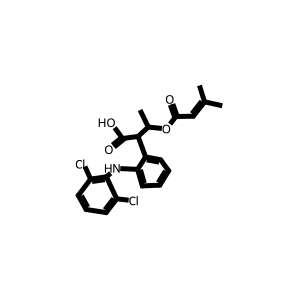 CC(C)=CC(=O)OC(C)C(C(=O)O)c1ccccc1Nc1c(Cl)cccc1Cl